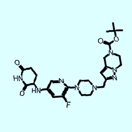 CC(C)(C)OC(=O)N1CCn2nc(CN3CCN(c4ncc(NC5CCC(=O)NC5=O)cc4F)CC3)cc2C1